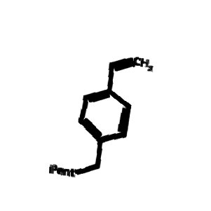 C=Cc1ccc(CC(C)CCC)cc1